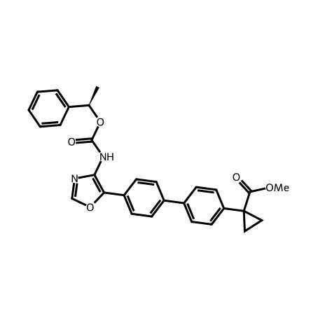 COC(=O)C1(c2ccc(-c3ccc(-c4ocnc4NC(=O)O[C@H](C)c4ccccc4)cc3)cc2)CC1